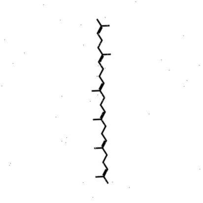 CC(C)=CCC/C(C)=C/C[CH]/C=C(\C)CC/C=C(\C)CC/C=C(\C)CCC=C(C)C